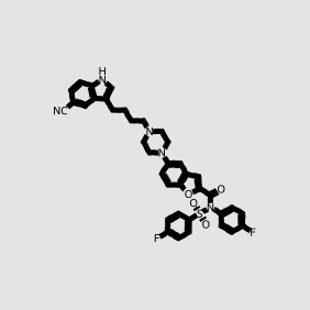 N#Cc1ccc2[nH]cc(CCCCN3CCN(c4ccc5oc(C(=O)N(c6ccc(F)cc6)S(=O)(=O)c6ccc(F)cc6)cc5c4)CC3)c2c1